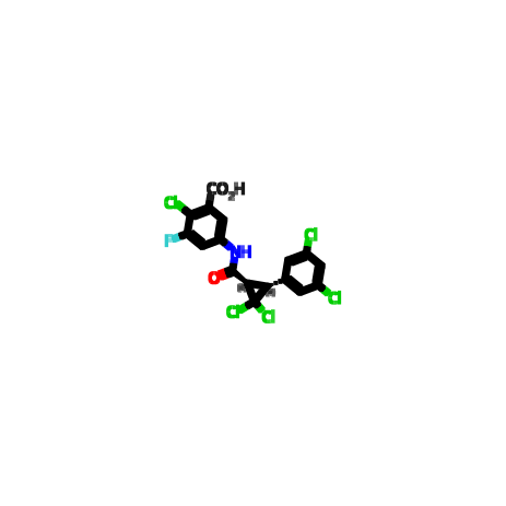 O=C(O)c1cc(NC(=O)[C@H]2[C@H](c3cc(Cl)cc(Cl)c3)C2(Cl)Cl)cc(F)c1Cl